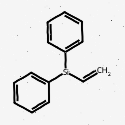 C=C[Si](c1ccccc1)c1ccccc1